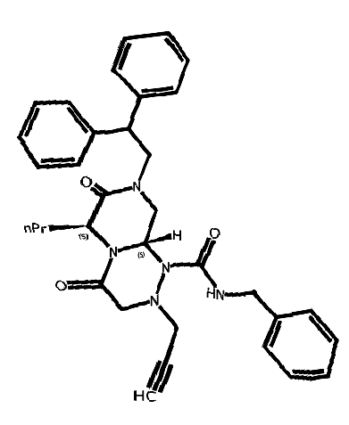 C#CCN1CC(=O)N2[C@@H](CCC)C(=O)N(CC(c3ccccc3)c3ccccc3)C[C@@H]2N1C(=O)NCc1ccccc1